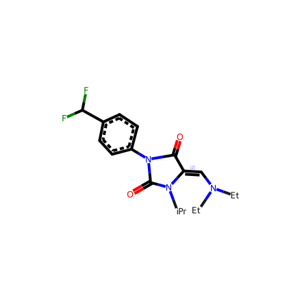 CCN(/C=C1/C(=O)N(c2ccc(C(F)F)cc2)C(=O)N1C(C)C)CC